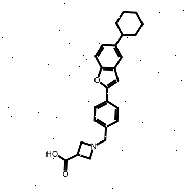 O=C(O)C1CN(Cc2ccc(-c3cc4cc(C5CCCCC5)ccc4o3)cc2)C1